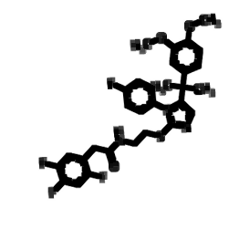 COc1ccc(C(C)(C)c2cnc(SCCNC(=O)Cc3cc(F)c(F)cc3F)n2-c2ccc(F)cc2)cc1OC